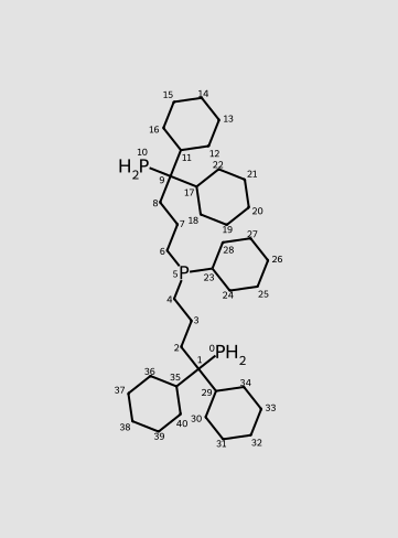 PC(CCCP(CCCC(P)(C1CCCCC1)C1CCCCC1)C1CCCCC1)(C1CCCCC1)C1CCCCC1